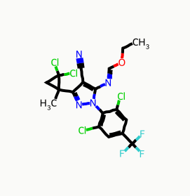 CCOC=Nc1c(C#N)c(C2(C)CC2(Cl)Cl)nn1-c1c(Cl)cc(C(F)(F)F)cc1Cl